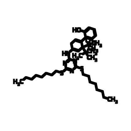 CCCCCCCCSc1nc(NC2=CC(C(C)(C)C)(C(C)(C)C)C(c3ccccc3O)=CC2)nc(SCCCCCCCC)n1